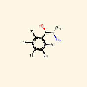 [2H]c1c([2H])c([2H])c([C@@H](O)[C@H](C)N)c([2H])c1[2H]